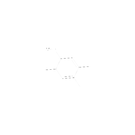 COC1C=C(C)C(C)=CC1C